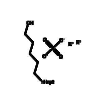 CCCCCCCCCCCCO.O=S(=O)([O-])[O-].[K+].[K+]